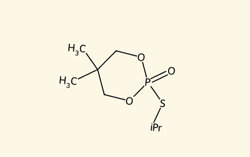 CC(C)SP1(=O)OCC(C)(C)CO1